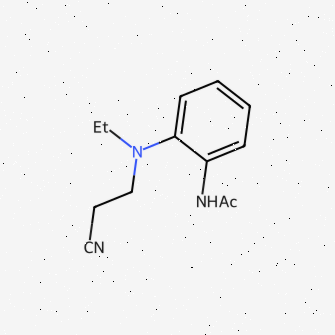 CCN(CCC#N)c1ccccc1NC(C)=O